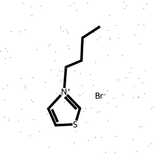 CCCC[n+]1ccsc1.[Br-]